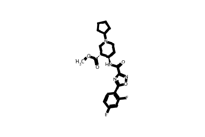 COC(=O)[C@@H]1CN(C2CCCC2)CC[C@H]1NC(=O)c1noc(-c2ccc(F)cc2F)n1